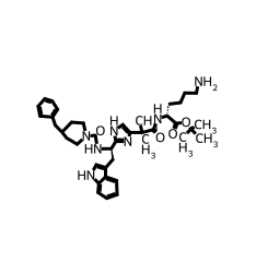 CC(C)(C)OC(=O)[C@@H](CCCCN)NC(=O)C(C)(C)c1c[nH]c([C@@H](Cc2c[nH]c3ccccc23)NC(=O)N2CCC(Cc3ccccc3)CC2)n1